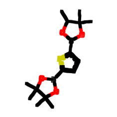 CC1OB(c2ccc(B3OC(C)(C)C(C)(C)O3)s2)OC1(C)C